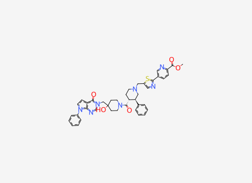 COC(=O)c1ccc(-c2ncc(CN3CC[C@@H](C(=O)N4CCC(O)(Cn5cnc6c(ccn6-c6ccccc6)c5=O)CC4)[C@H](c4ccccc4)C3)s2)cn1